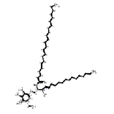 CCCCCCCCCCCCC/C=C/[C@@H](O)[C@H](CO[C@@H]1O[C@H](CO)[C@@H](O)C(O)C1O)NC(=O)CCCCCCCCCCCCCCCCCCCCCC